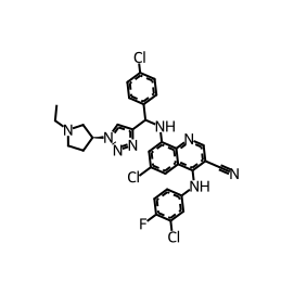 CCN1CC[C@H](n2cc(C(Nc3cc(Cl)cc4c(Nc5ccc(F)c(Cl)c5)c(C#N)cnc34)c3ccc(Cl)cc3)nn2)C1